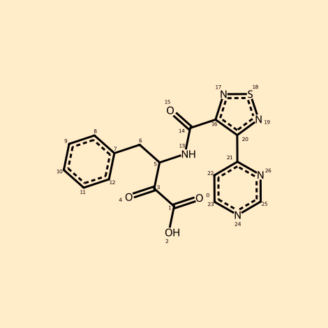 O=C(O)C(=O)C(Cc1ccccc1)NC(=O)c1nsnc1-c1ccncn1